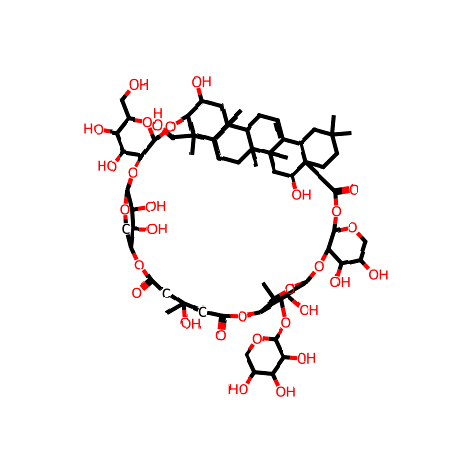 CC1OC2OC3C(OCC(O)C3O)OC(=O)C34CCC(C)(C)CC3C3=CCC5C6(C)CC(O)C(OC7OC(CO)C(O)C(O)C7OC7OCC(OC(=O)CC(C)(O)CC(=O)OC1C(OC1OCC(O)C(O)C1O)C2O)C(O)C7O)C(C)(CO)C6CCC5(C)C3(C)CC4O